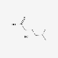 CN(C)CCCC(=O)O.Cl